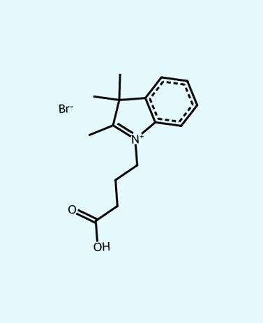 CC1=[N+](CCCC(=O)O)c2ccccc2C1(C)C.[Br-]